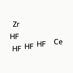 F.F.F.F.[Ce].[Zr]